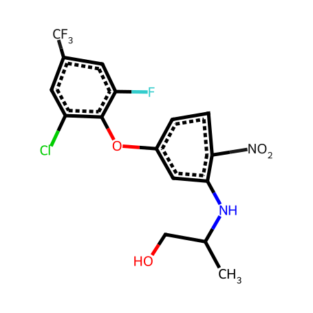 CC(CO)Nc1cc(Oc2c(F)cc(C(F)(F)F)cc2Cl)ccc1[N+](=O)[O-]